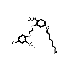 O=[N+]([O-])c1ccc(OCCCCCCBr)cc1OCCOc1ccc(Cl)cc1[N+](=O)[O-]